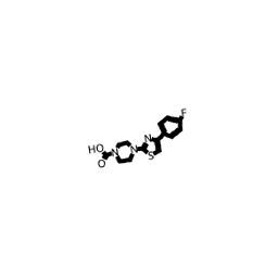 O=C(O)N1CCN(c2nc(-c3ccc(F)cc3)cs2)CC1